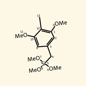 COc1cc(C[Si](OC)(OC)OC)cc(OC)c1C